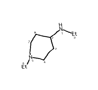 CCNC1CCN(CC)CC1